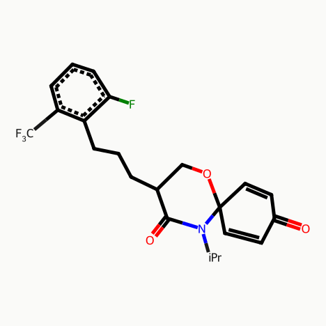 CC(C)N1C(=O)C(CCCc2c(F)cccc2C(F)(F)F)COC12C=CC(=O)C=C2